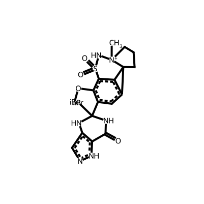 CCCOc1c(C2(C(C)CC)NC(=O)c3[nH]ncc3N2)cc2c3c1S(=O)(=O)N[N+]1(C)CCCC231